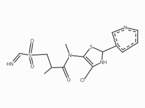 CC(CS(=O)(=O)C=N)C(=O)N(C)C1=C(Cl)NC(c2cccnc2)S1